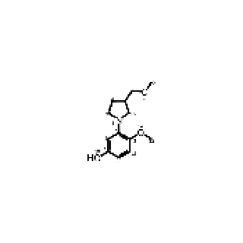 COCC1CCN(c2cc(O)ccc2OC)C1